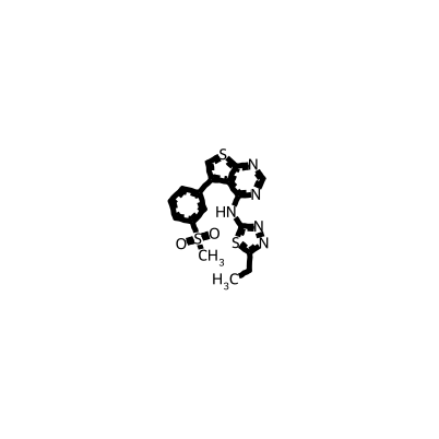 CCc1nnc(Nc2ncnc3scc(-c4cccc(S(C)(=O)=O)c4)c23)s1